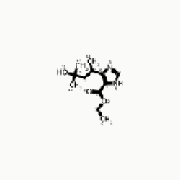 CCOC(=O)c1[nH]cnc1C(C)CC(C)(C)O